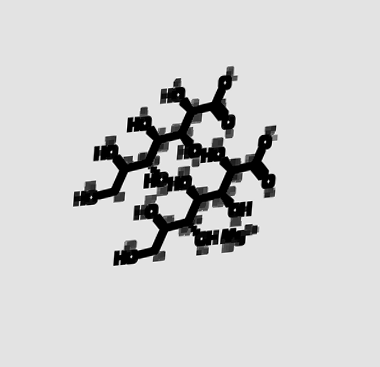 O=C([O-])[C@H](O)[C@@H](O)[C@H](O)[C@H](O)C(O)CO.O=C([O-])[C@H](O)[C@@H](O)[C@H](O)[C@H](O)C(O)CO.[Mg+2]